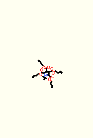 C=CCCOC(=O)c1c(C(=O)OCCC=C)c(C(=O)OCCC=C)n(C(C)(C)C)c1C(=O)OCCC=C